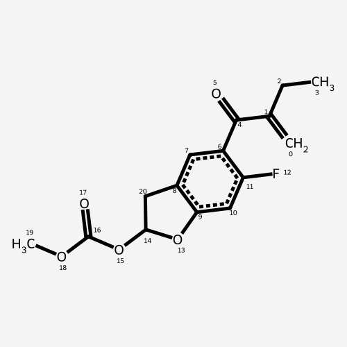 C=C(CC)C(=O)c1cc2c(cc1F)OC(OC(=O)OC)C2